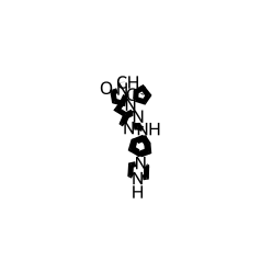 CN1C(=O)CC2(Cc3cnc(Nc4ccc(N5CCNCC5)cc4)nc3N2C2CCCC2)C1=O